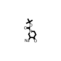 CC(C)(C)OC(=O)N1CCC(=O)[C]([Na])C1